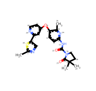 Cc1ncc(-c2cc(Oc3ccc(NC(=O)N4CCC(C)(C)C4=O)nc3C)ccn2)s1